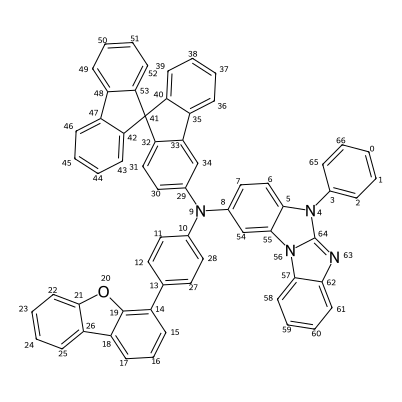 c1ccc(-n2c3ccc(N(c4ccc(-c5cccc6c5oc5ccccc56)cc4)c4ccc5c(c4)-c4ccccc4C54c5ccccc5-c5ccccc54)cc3n3c4ccccc4nc23)cc1